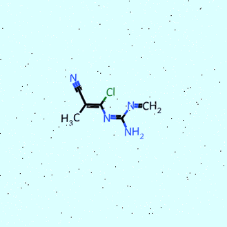 C=N/C(N)=N\C(Cl)=C(/C)C#N